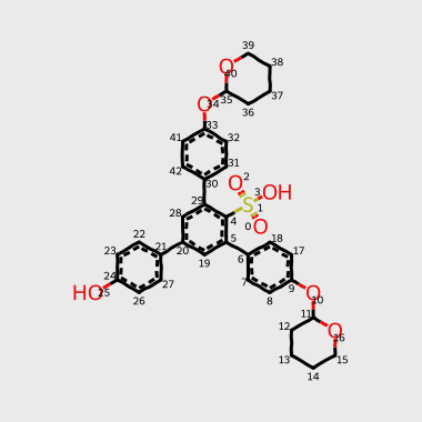 O=S(=O)(O)c1c(-c2ccc(OC3CCCCO3)cc2)cc(-c2ccc(O)cc2)cc1-c1ccc(OC2CCCCO2)cc1